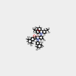 Cc1ccc(-c2cc(C(C)(C)C)ccc2N2c3ccc(C(C)(C)C)cc3B3c4oc5cc6c(cc5c4N(c4ccc5c(c4)C(C)(C)CCC5(C)C)c4cc(C)cc2c43)C(C)(C)CCC6(C)C)cc1